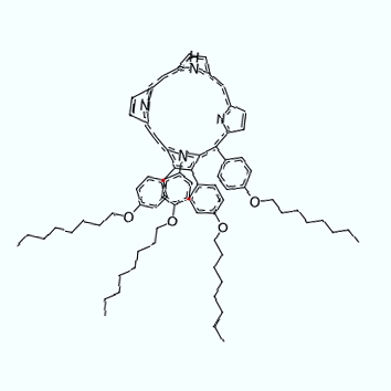 CCCCCCCCOc1ccc(-c2c(-c3ccc(OCCCCCCCC)cc3)c3c(-c4ccc(OCCCCCCCC)cc4)c4nc(cc5ccc(cc6nc(cc2n3-c2ccc(OCCCCCCCC)cc2)C=C6)[nH]5)C=C4)cc1